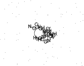 C=C[C@@H]1C[C@]1(NC(=O)[C@@H]1C[C@@H]2CN1C(=O)[C@H](C(C)(C)C)NC(=O)O[C@@H]1CCC[C@H]1CCCCCc1c(nc3ccccc3c1OCCN(C)C)O2)C(=O)NS(=O)(=O)C1(CCN2CCOCC2)CC1